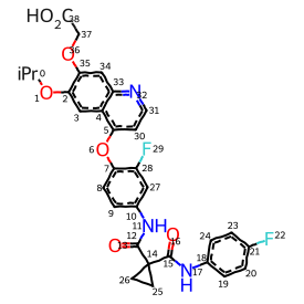 CC(C)Oc1cc2c(Oc3ccc(NC(=O)C4(C(=O)Nc5ccc(F)cc5)CC4)cc3F)ccnc2cc1OCC(=O)O